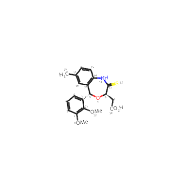 COc1cccc([C@H]2O[C@H](CC(=O)O)C(=S)Nc3ccc(C)cc32)c1OC